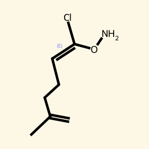 C=C(C)CC/C=C(/Cl)ON